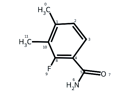 Cc1ccc(C(N)=O)c(F)c1C